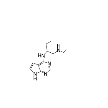 CCNCC(CC)Nc1ncnc2[nH]ccc12